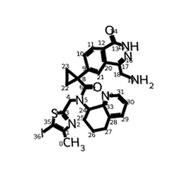 Cc1nc(CN(C(=O)C2(c3ccc4c(=O)[nH]nc(CN)c4c3)CC2)C2CCCc3cccnc32)sc1I